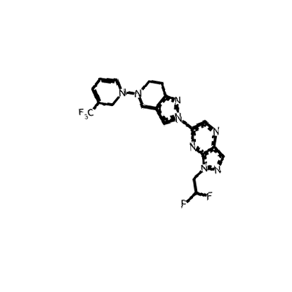 FC(F)Cn1ncc2ncc(-n3cc4c(n3)CCN(N3C=CC=C(C(F)(F)F)C3)C4)nc21